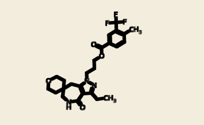 CCc1nn(CCCOC(=O)c2ccc(C)c(C(F)(F)F)c2)c2c1C(=O)NCC1(CCOCC1)C2